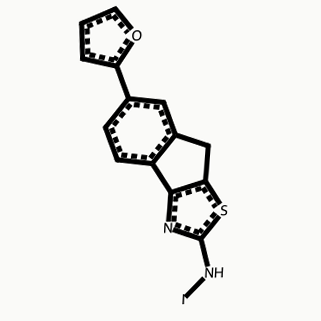 INc1nc2c(s1)Cc1cc(-c3ccco3)ccc1-2